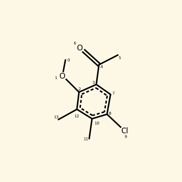 COc1c(C(C)=O)cc(Cl)c(C)c1C